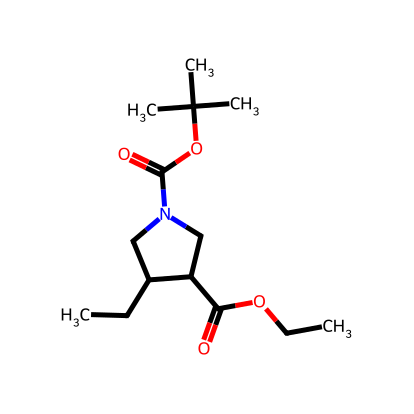 CCOC(=O)C1CN(C(=O)OC(C)(C)C)CC1CC